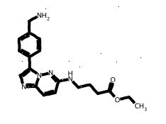 CCOC(=O)CCCNc1ccc2ncc(-c3ccc(CN)cc3)n2n1